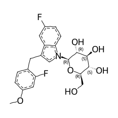 COc1ccc(Cc2cn([C@@H]3O[C@H](CO)[C@@H](O)[C@H](O)[C@H]3O)c3ccc(F)cc23)c(F)c1